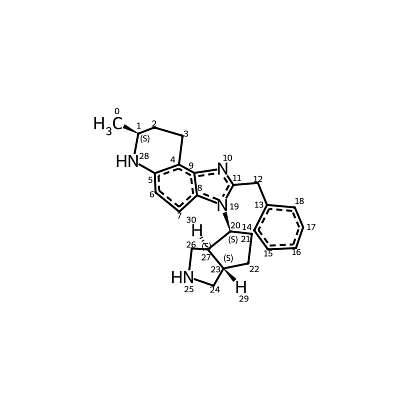 C[C@H]1CCc2c(ccc3c2nc(Cc2ccccc2)n3[C@H]2CC[C@@H]3CNC[C@H]32)N1